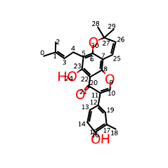 CC(C)=CCc1c2c(c3occ(-c4ccc(O)c(C)c4)c(=O)c3c1O)C=CC(C)(C)O2